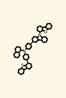 c1ccc2c(N(c3ccc(-c4ccc5c(c4)c4ccccc4n5-c4cccc5c4oc4ccccc45)cc3)c3ccc(-c4cccc5c4sc4ccccc45)cc3)cccc2c1